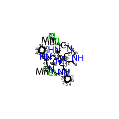 CCCCC1CCN2CCNC(C)CCN(CCN1)CC2.[Cl][Mn][Cl].[Cl][Mn][Cl].c1ccc(CC2CCN3CCNC(Cc4ccccc4)CCN(CCN2)CC3)cc1